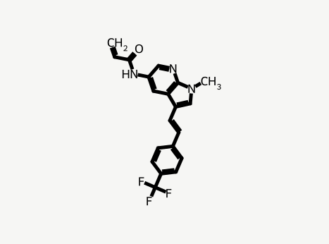 C=CC(=O)Nc1cnc2c(c1)c(C=Cc1ccc(C(F)(F)F)cc1)cn2C